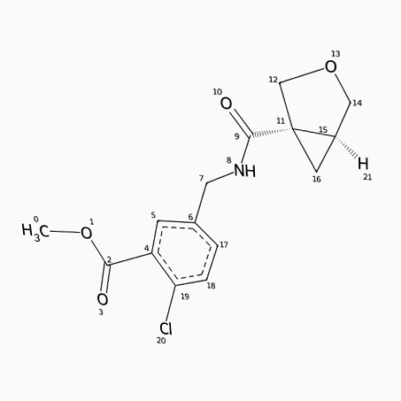 COC(=O)c1cc(CNC(=O)[C@]23COC[C@H]2C3)ccc1Cl